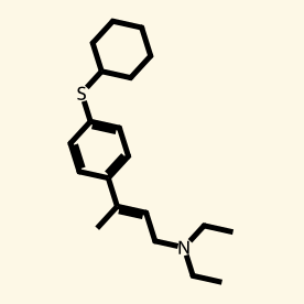 CCN(CC)CC=C(C)c1ccc(SC2CCCCC2)cc1